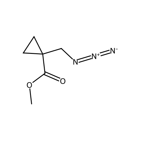 COC(=O)C1(CN=[N+]=[N-])CC1